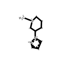 CN1CCCC(n2cccn2)C1